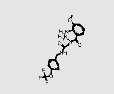 COc1cccc(C(=O)N(N)CC(=O)NCc2ccc(OC(F)(F)F)cc2)c1N